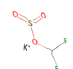 O=[S-](=O)OC(F)F.[K+]